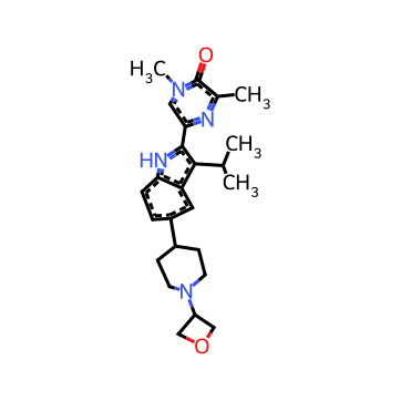 Cc1nc(-c2[nH]c3ccc(C4CCN(C5COC5)CC4)cc3c2C(C)C)cn(C)c1=O